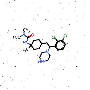 CN(C)C(=O)NC1(C)CCC(CC(c2cccc(Cl)c2Cl)N2CCNCC2)CC1